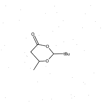 CC1CC(=O)OC(C(C)(C)C)O1